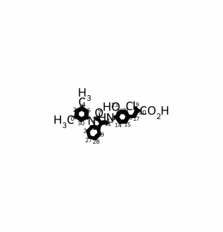 Cc1cc(C)cc(N2C(=O)/C(=C\Nc3ccc(/C=C(\Cl)C(=O)O)cc3O)C3=C2CCC=C3)c1